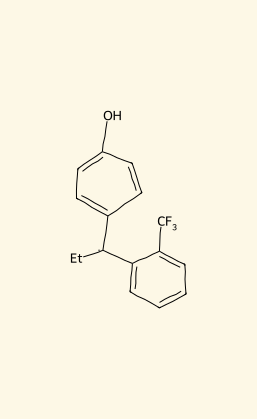 CC[C](c1ccc(O)cc1)c1ccccc1C(F)(F)F